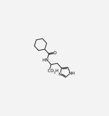 O=C(NC(Cc1c[nH]cn1)C(=O)O)C1CCCCC1